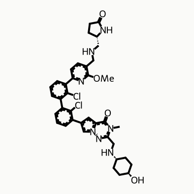 COc1nc(-c2cccc(-c3cccc(-c4cc5c(=O)n(C)c(CN[C@H]6CC[C@H](O)CC6)nn5c4)c3Cl)c2Cl)ccc1CNC[C@@H]1CCC(=O)N1